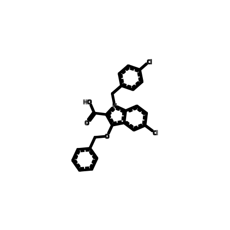 O=C(O)c1c(OCc2ccccc2)c2cc(Cl)ccc2n1Cc1ccc(Cl)cc1